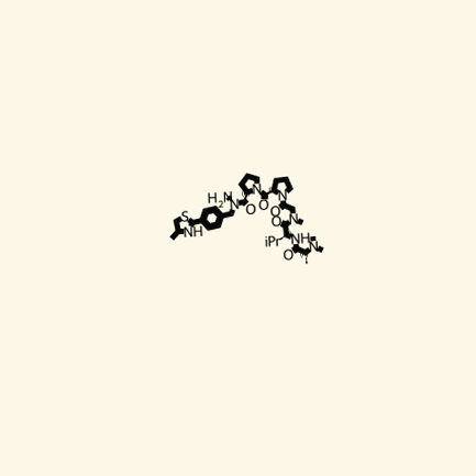 CC1CSC(c2ccc(CN(N)C(=O)[C@H]3CCCN3C(=O)[C@H]3CCCN3C(=O)CN(C)C(=O)[C@H](NC(=O)[C@@H](C)N(C)C)C(C)C)cc2)N1